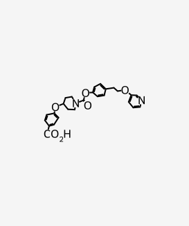 O=C(O)c1ccc(OC2CCN(C(=O)Oc3ccc(CCOc4cccnc4)cc3)CC2)cc1